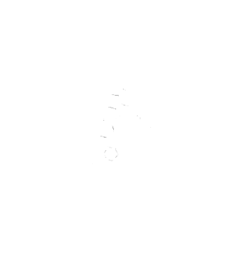 Cc1cc(CSC2CCCCC2)c(O)c2c1CC1CC3C(N(C)C)C(O)=C(C(N)=O)C(=O)[C@]3(C)C(O)=C1C2=O